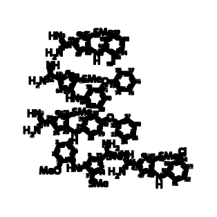 COc1ccccc1Nc1cc(C(=N)N)sc1SC.CSc1sc(C(=N)N)cc1Nc1ccc(Oc2ccccc2)cc1.CSc1sc(C(=N)N)cc1Nc1cccc(Cl)c1.CSc1sc(C(=N)N)cc1Nc1cccc(Oc2ccccc2)c1.CSc1sc(C(=N)N)cc1Nc1ccccc1C